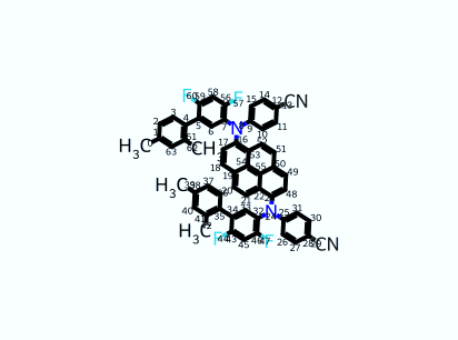 Cc1ccc(-c2cc(N(c3ccc(C#N)cc3)c3ccc4ccc5c(N(c6ccc(C#N)cc6)c6cc(-c7ccc(C)cc7C)c(F)cc6F)ccc6ccc3c4c65)c(F)cc2F)c(C)c1